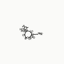 CC[C@H]1OC(=O)[C@H](C)C(=O)[C@H](C)[C@@H](O[C@@H]2OC(C)CC(N(C)C)C2O)[C@](C)(OC)C[C@@H](C)C(=O)C[C@H]2N(CCCCN=[N+]=[N-])C(=O)O[C@]12C